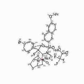 CC(C)Oc1ccc2cc(S(=O)(=O)N(C)C(C(=O)N3C4CCC3CC(N)C4)C(F)(F)c3ccc(Br)cc3)ccc2c1.O=C(O)C(F)(F)F